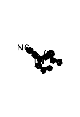 N#Cc1ccc(-c2ccc(-c3nc(-c4cccc(-c5cccc(-c6ccccc6)c5)c4)nc(-c4ccc5c(c4)oc4cccc(-c6cccc(-c7ccccc7)c6)c45)n3)cc2)cc1